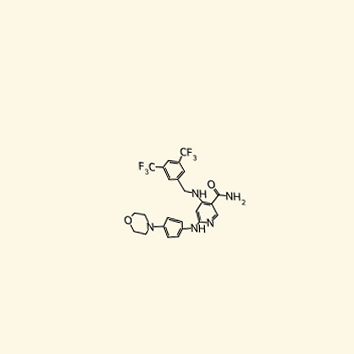 NC(=O)c1cnc(Nc2ccc(N3CCOCC3)cc2)cc1NCc1cc(C(F)(F)F)cc(C(F)(F)F)c1